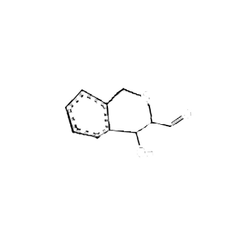 O=CC1SCc2ccccc2C1O